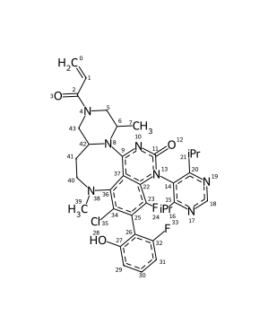 C=CC(=O)N1CC(C)N2c3nc(=O)n(-c4c(C(C)C)ncnc4C(C)C)c4c(F)c(-c5c(O)cccc5F)c(Cl)c(c34)N(C)CCC2C1